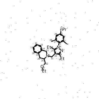 CCCc1cc(C)c(-n2nc(CC)c(CN3Cc4ccccc4CC3COCC)c2CC)c(C)c1